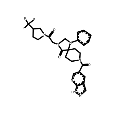 O=C(CN1CN(c2ccccc2)C2(CCN(C(=O)c3cnc4[nH]ncc4c3)CC2)C1=O)N1CCC(C(F)(F)F)C1